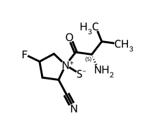 CC(C)[C@H](N)C(=O)[N+]1([S-])CC(F)CC1C#N